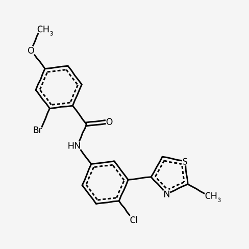 COc1ccc(C(=O)Nc2ccc(Cl)c(-c3csc(C)n3)c2)c(Br)c1